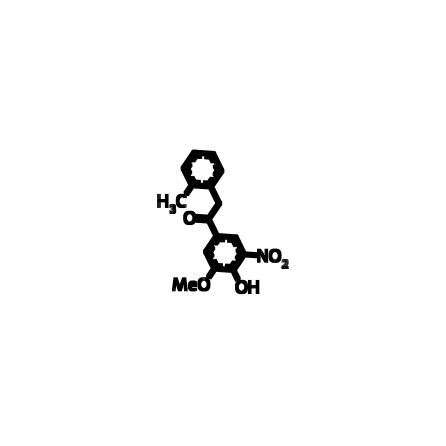 COc1cc(C(=O)Cc2ccccc2C)cc([N+](=O)[O-])c1O